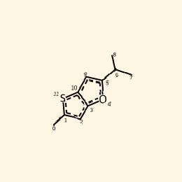 Cc1cc2oc(C(C)C)cc2s1